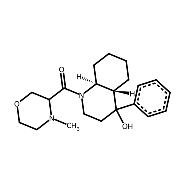 CN1CCOCC1C(=O)N1CCC(O)(c2ccccc2)[C@H]2CCCC[C@@H]21